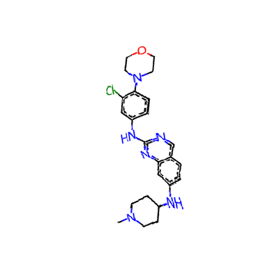 CN1CCC(Nc2ccc3cnc(Nc4ccc(N5CCOCC5)c(Cl)c4)nc3c2)CC1